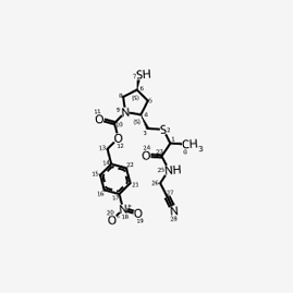 CC(SC[C@@H]1C[C@H](S)CN1C(=O)OCc1ccc([N+](=O)[O-])cc1)C(=O)NCC#N